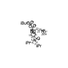 CC(C)CCN(CCC(C)C)C(=O)c1ccc2nc(C(=O)OC(=O)OCC(C)C)c(CCCN3CCCC3)n2c1